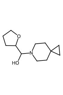 OC(C1CCCO1)N1CCC2(CC1)CC2